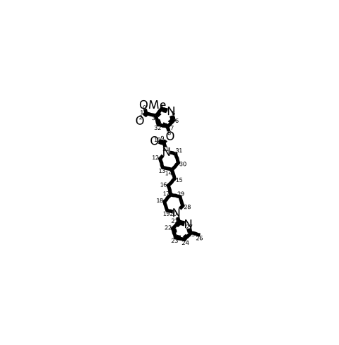 COC(=O)c1cncc(OC(=O)N2CCC(CCC3CCN(c4cccc(C)n4)CC3)CC2)c1